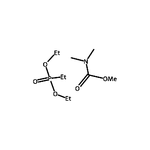 CCOP(=O)(CC)OCC.COC(=O)N(C)C